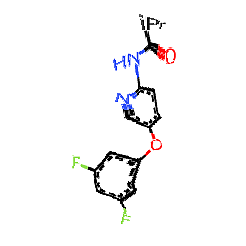 CC(C)C(=O)Nc1ccc(Oc2cc(F)cc(F)c2)cn1